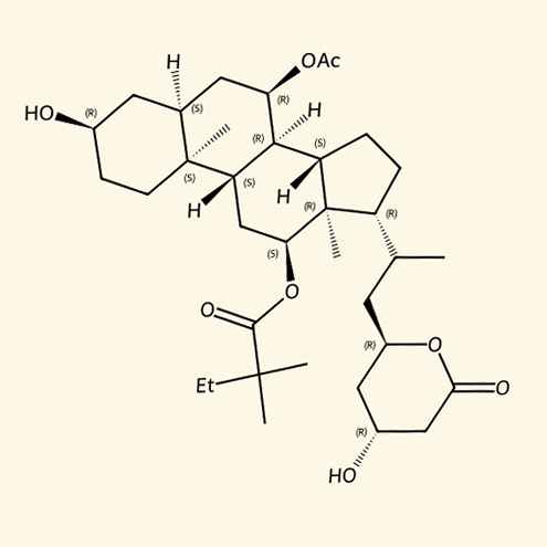 CCC(C)(C)C(=O)O[C@H]1C[C@H]2[C@@H]([C@H](OC(C)=O)C[C@@H]3C[C@H](O)CC[C@@]32C)[C@@H]2CC[C@H](C(C)C[C@@H]3C[C@@H](O)CC(=O)O3)[C@@]12C